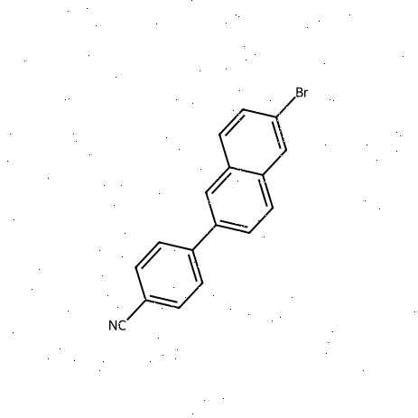 N#Cc1ccc(-c2ccc3cc(Br)ccc3c2)cc1